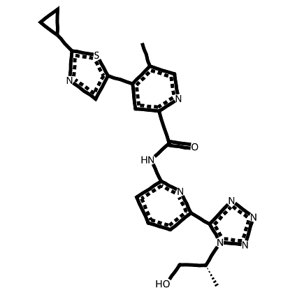 Cc1cnc(C(=O)Nc2cccc(-c3nnnn3[C@H](C)CO)n2)cc1-c1cnc(C2CC2)s1